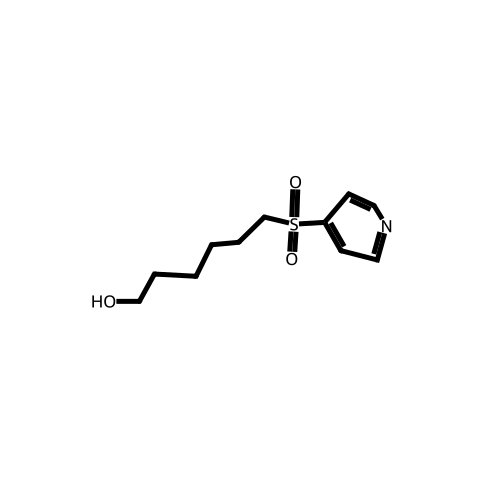 O=S(=O)(CCCCCCO)c1ccncc1